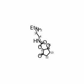 CCN(C)CCNC(=O)OC1C(=O)CCC1=O